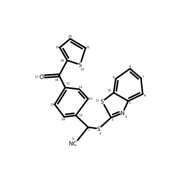 N#CC(Sc1nc2ccccc2s1)c1ccc(C(=O)c2cccs2)cc1